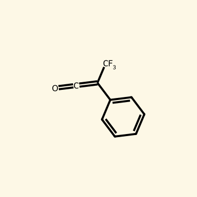 O=C=C(c1ccccc1)C(F)(F)F